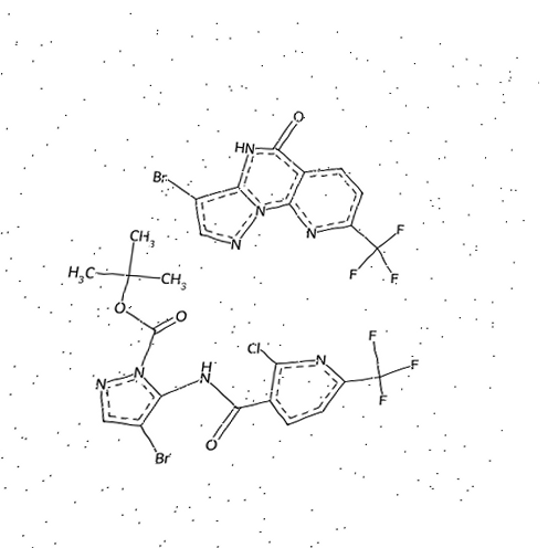 CC(C)(C)OC(=O)n1ncc(Br)c1NC(=O)c1ccc(C(F)(F)F)nc1Cl.O=c1[nH]c2c(Br)cnn2c2nc(C(F)(F)F)ccc12